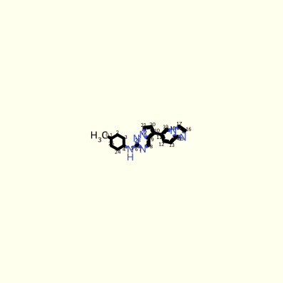 CC1CCC(Nc2ncc3c(-c4ccc5nccn5c4)ccn3n2)CC1